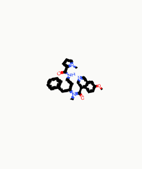 COc1ccc2c(C(=O)N(C)C(CCNC(=O)c3cccn3C)Cc3ccccc3)cncc2c1